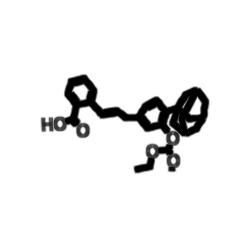 CCOC(OC)Oc1cc(CC=Cc2ccccc2C(=O)O)ccc1C12CC3CC(CC(C3)C1)C2